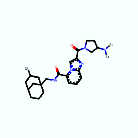 CCC1CC2CCCC(CNC(=O)c3cccc4nc(C(=O)N5CCC(N(CC)CC)C5)cn34)(C1)C2